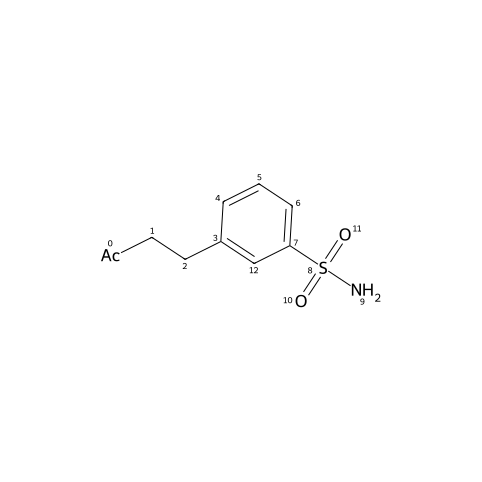 CC(=O)CCc1cccc(S(N)(=O)=O)c1